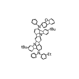 CCc1cccc(N(c2ccccc2)c2ccc3c4c2C2C=CC(C(C)(C)C)=CC2N4C2C=C4C(=CC32)N2C3C=CC(C(C)(C)C)=CC3C3=C(N(c5ccccc5)c5ccc6c(c5)OC5C=CC=CC65)C=CC4C32)c1